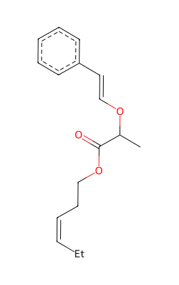 CC/C=C\CCOC(=O)C(C)OC=Cc1ccccc1